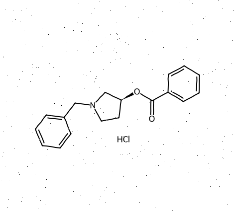 Cl.O=C(O[C@H]1CCN(Cc2ccccc2)C1)c1ccccc1